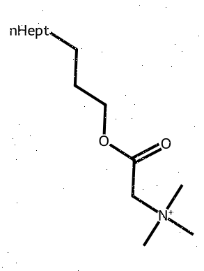 CCCCCCCCCCOC(=O)C[N+](C)(C)C